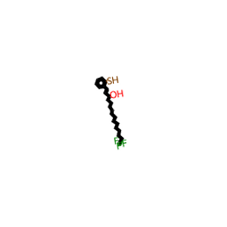 OC(C=Cc1ccccc1S)CCCCCCCCCCCCC(F)(F)F